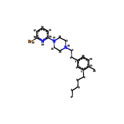 CCCCCc1cc(CCN2CCN(c3cccc(Br)n3)CC2)ccc1C